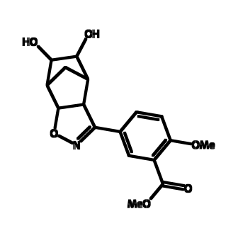 COC(=O)c1cc(C2=NOC3C4CC(C(O)C4O)C23)ccc1OC